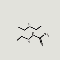 CCNCC.CCNNC(N)=S